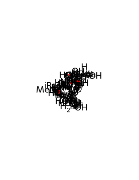 CN[C@H](CC(C)C)C(=O)N[C@H]1C(=O)N[C@@H](CC(N)=O)C(=O)NC2C(=O)N[C@H]3C(=O)N[C@H](C(=O)NC(C(=O)NCC(=O)Nc4ccc(O)cc4)c4cc(O)cc(O)c4-c4cc3ccc4O)[C@H](O)c3ccc(c(Cl)c3)Oc3cc2cc(c3O[C@@H]2O[C@H](CO)[C@@H](O)[C@H](O)[C@H]2OC2C[C@](C)(N)[C@H](O)[C@H](C)O2)Oc2ccc(cc2)[C@H]1O